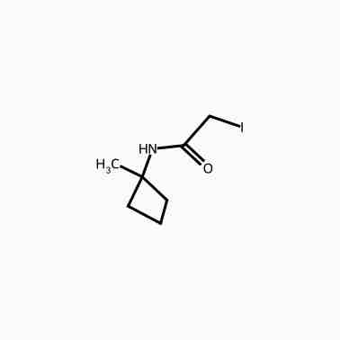 CC1(NC(=O)CI)CCC1